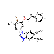 COc1cc2ncn(C3=CC(OCCc4ccccc4)C(=S)C(C#N)=C3)c2cc1OC